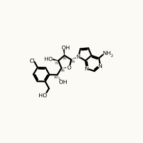 Nc1ncnc2c1ccn2[C@@H]1O[C@H]([C@H](O)c2cc(Cl)ccc2CO)[C@@H](O)[C@H]1O